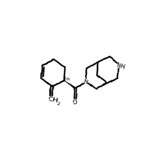 C=C1C=CCC[C@H]1C(=O)N1CC2CNCC(C2)C1